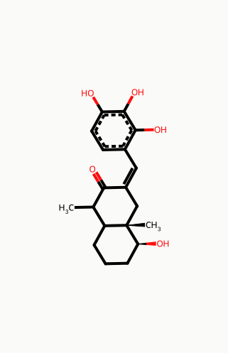 CC1C(=O)/C(=C\c2ccc(O)c(O)c2O)C[C@@]2(C)C1CCC[C@@H]2O